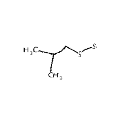 CC(C)CS[S]